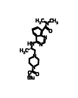 C[C@@H](CN1CCN(C(=O)OC(C)(C)C)CC1)Nc1ncnc2c(C(=O)N(C)C)cccc12